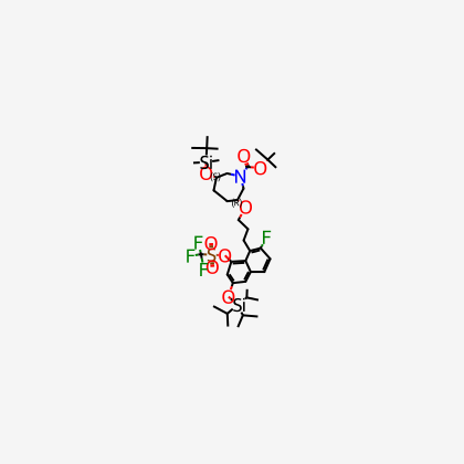 CC(C)[Si](Oc1cc(OS(=O)(=O)C(F)(F)F)c2c(CCCO[C@@H]3CC[C@H](O[Si](C)(C)C(C)(C)C)CN(C(=O)OC(C)(C)C)C3)c(F)ccc2c1)(C(C)C)C(C)C